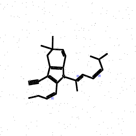 C#Cc1c2c(n(/C(C)=C/C=C\C(C)C)c1/C=C\CC)C=CC(C)(C)C2